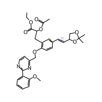 CCOC(=O)C(Cc1cc(/C=C/C2COC(C)(C)O2)ccc1OCc1ccnc(-c2ccccc2OC)n1)OC(C)=O